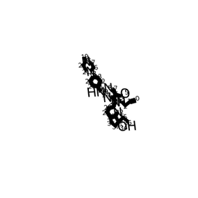 C#CCn1c(=O)c2cnc(Nc3ccc(N4CCN(C)CC4)cc3)nc2n1-c1ccc2c(n1)[C@@](O)(CC)CC2